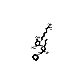 CCCCCC(O)(COc1ccccc1)CS[C@H]1C(O)CC(O)[C@@H]1CCCCCCC(=O)O